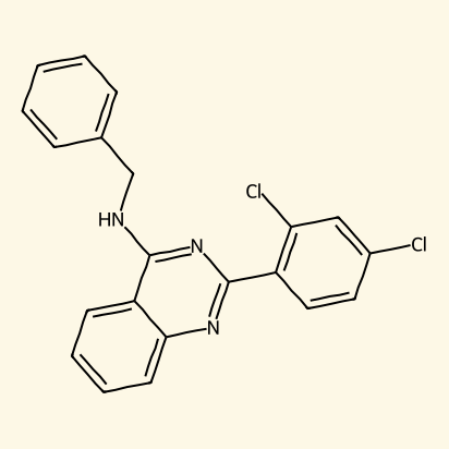 Clc1ccc(-c2nc(NCc3ccccc3)c3ccccc3n2)c(Cl)c1